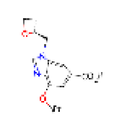 CC(C)Oc1cc(C(=O)O)cc2c1ncn2C[C@@H]1CCO1